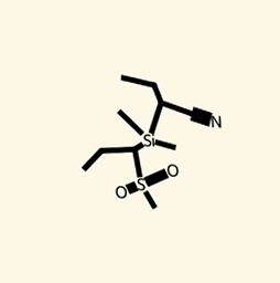 CCC(C#N)[Si](C)(C)C(CC)S(C)(=O)=O